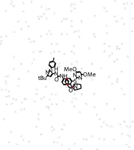 COc1cc(OC)nc(Sc2ccccc2C(=O)N2C3CCC2CC(Cc2ccc(NC(=O)Nc4cc(C(C)(C)C)nn4-c4ccc(C)cc4)cc2)C3)n1